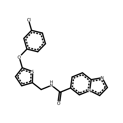 O=C(NCc1ccc(Oc2cccc(Cl)c2)s1)c1ccc2nccn2c1